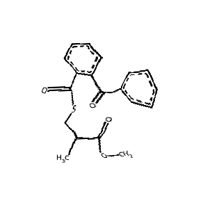 COC(=O)C(C)CSC(=O)c1ccccc1C(=O)c1ccccc1